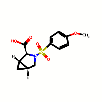 COc1ccc(S(=O)(=O)N2C[C@@H]3C[C@@H]3[C@H]2C(=O)O)cc1